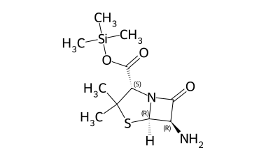 CC1(C)S[C@@H]2[C@H](N)C(=O)N2[C@H]1C(=O)O[Si](C)(C)C